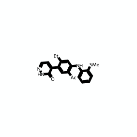 CCc1cc(Nc2ccccc2SC)c(C(C)=O)cc1-c1ccn[nH]c1=O